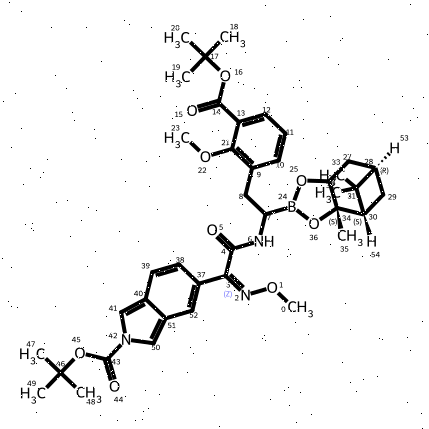 CO/N=C(\C(=O)NC(Cc1cccc(C(=O)OC(C)(C)C)c1OC)B1OC2C[C@H]3C[C@@H](C3(C)C)[C@]2(C)O1)c1ccc2cn(C(=O)OC(C)(C)C)cc2c1